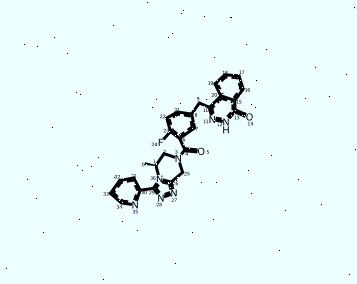 C[C@H]1CN(C(=O)c2cc(Cc3n[nH]c(=O)c4ccccc34)ccc2F)Cc2nnc(-c3ccccn3)n21